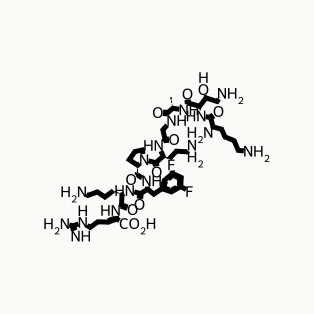 C[C@H](NC(=O)[C@@H](NC(=O)[C@@H](N)CCCCN)[C@@H](O)CN)C(=O)NCC(=O)N[C@H](CCCN)C(=O)N1CCC[C@H]1C(=O)NC(Cc1cc(F)cc(F)c1)C(=O)N[C@@H](CCCCN)C(=O)N/C(=C\CCNC(=N)N)C(=O)O